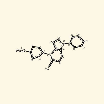 COc1ccc(-n2c(=O)ccc3c2ccn3-c2ccccc2)cc1